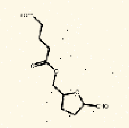 CCCCCCCCCCCC(=O)OCC1CCC(C=O)O1